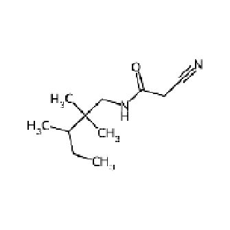 CCC(C)C(C)(C)CNC(=O)CC#N